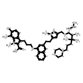 CNN[C@@H](OCc1cc(CCc2cc(OCCCc3c(C(=O)O)n(C)c4c(C)c(Cl)ccc34)c3ccccc3c2)n(C)n1)[C@@H](C)C(C)(C)CCCN1CCOCC1